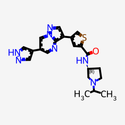 CC(C)N1CC[C@@H](NC(=O)c2cc(-c3cnn4cc(-c5cn[nH]c5)cnc34)cs2)C1